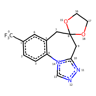 FC(F)(F)c1ccc2c(c1)CC1(Cc3nncn3-2)OCCO1